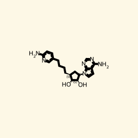 Nc1ccc(CCCC[C@H]2C[C@@H](n3ccc4c(N)ncnc43)[C@H](O)[C@@H]2O)cn1